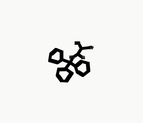 CCC(NC(c1ccccc1)(c1ccccc1)c1ccccc1)C(O)C(C)C